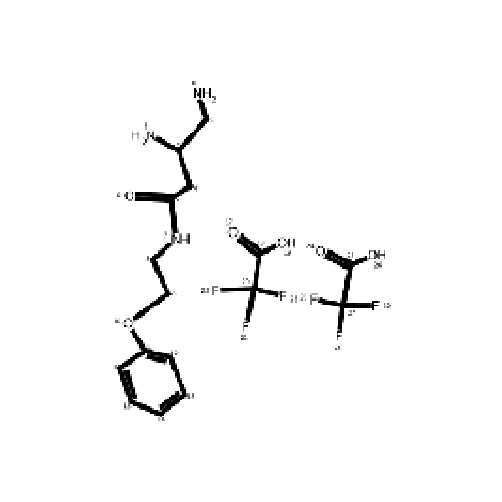 NCC(N)CC(=O)NCCOc1ccccc1.O=C(O)C(F)(F)F.O=C(O)C(F)(F)F